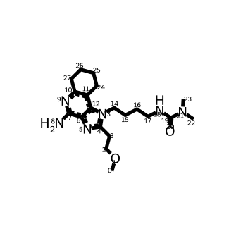 COCCc1nc2c(N)nc3c(c2n1CCCCNC(=O)N(C)C)CCCC3